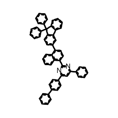 c1ccc(-c2ccc(-c3cc(-c4ccccc4)nc(-c4ccc(-c5ccc6c(c5)-c5ccccc5C6(c5ccccc5)c5ccccc5)c5ccccc45)n3)cc2)cc1